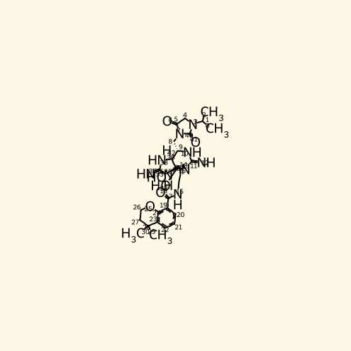 CC(C)N1CC(=O)N(C[C@@H]2NC(=N)N3CC(NC(=O)c4cccc5c4OCCC5(C)C)C(O)(O)C34NC(=N)N[C@@H]24)C1=O